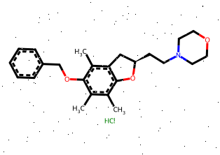 Cc1c(C)c2c(c(C)c1OCc1ccccc1)C[C@@H](CCN1CCOCC1)O2.Cl